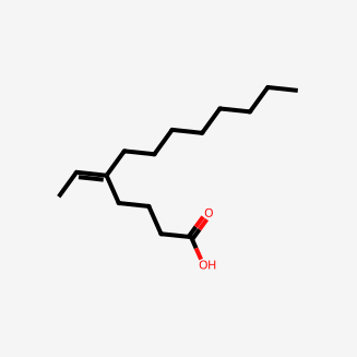 CC=C(CCCCCCCC)CCCC(=O)O